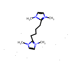 Cn1cc[n+](C)c1CCCCc1n(C)cc[n+]1C